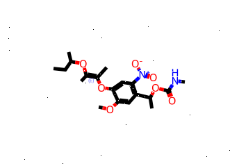 CCC(C)O/C(C)=C(\C)Oc1cc([N+](=O)[O-])c(C(C)OC(=O)NC)cc1OC